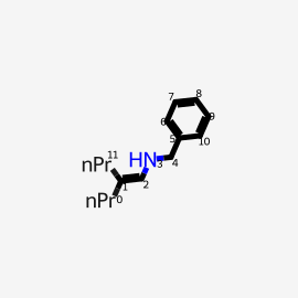 CCCC(=CNCc1ccccc1)CCC